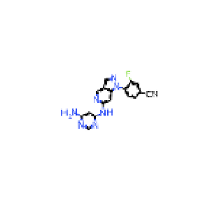 N#Cc1ccc(-n2ncc3cnc(Nc4cc(N)ncn4)cc32)c(F)c1